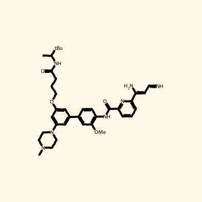 COc1cc(-c2cc(OCCCC(=O)NC(C)C(C)(C)C)cc(N3CCN(C)CC3)c2)ccc1NC(=O)c1cccc(/C(N)=C/C=N)n1